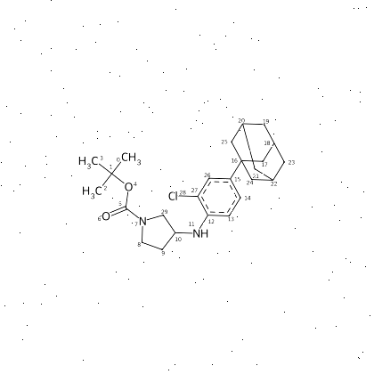 CC(C)(C)OC(=O)N1CCC(Nc2ccc(C34CC5CC(CC(C5)C3)C4)cc2Cl)C1